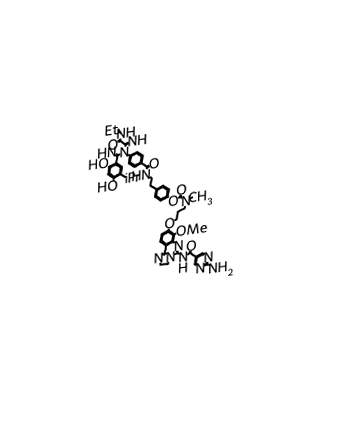 CCNC(=O)C(=N)N(C(=N)c1cc(C(C)C)c(O)cc1O)c1ccc(C(=O)NCCc2ccc(OC(=O)N(C)CCCOc3ccc4c(c3OC)N=C(NC(=O)c3cnc(N)nc3)N3CCN=C43)cc2)cc1